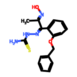 CC(=NO)C(=NNC(N)=S)c1ccccc1OCc1ccccc1